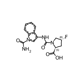 NC(=O)n1cc(NC(=O)N2C[C@H](F)C[C@H]2C(=O)O)c2ccccc21